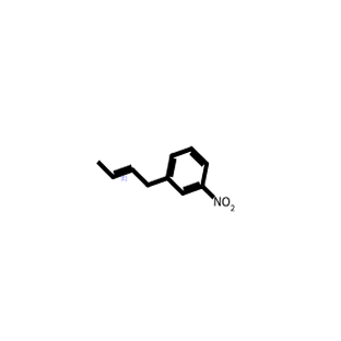 C/C=C/Cc1cccc([N+](=O)[O-])c1